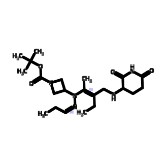 CC/C=N\N(/C(C)=C(\CC)CNC1CCC(=O)NC1=O)C1CN(C(=O)OC(C)(C)C)C1